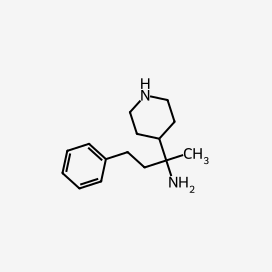 CC(N)(CCc1ccccc1)C1CCNCC1